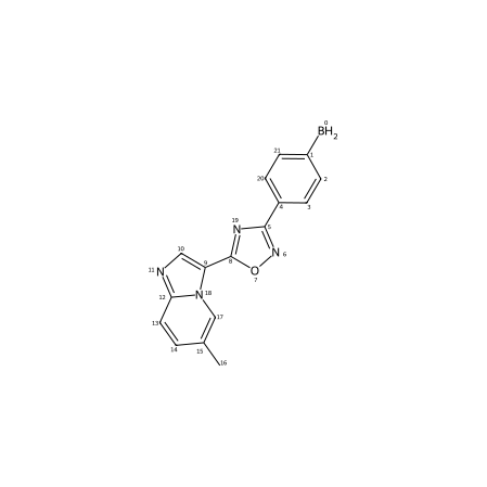 Bc1ccc(-c2noc(-c3cnc4ccc(C)cn34)n2)cc1